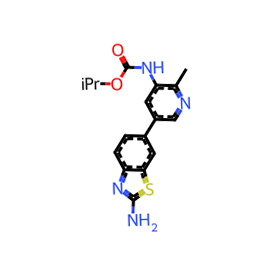 Cc1ncc(-c2ccc3nc(N)sc3c2)cc1NC(=O)OC(C)C